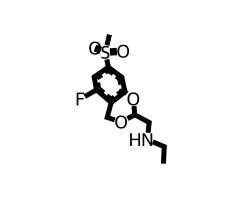 CCNCC1OCc2c(F)cc(S(C)(=O)=O)cc2O1